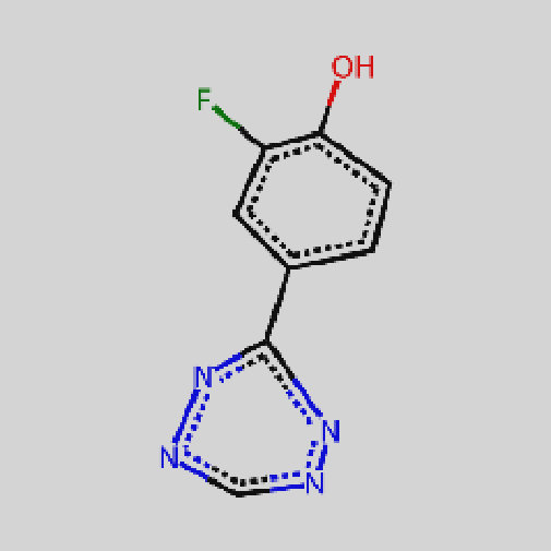 Oc1ccc(-c2nncnn2)cc1F